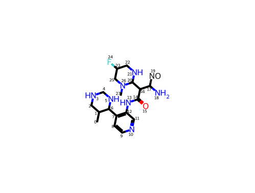 CC1CNCNC1c1ccncc1NC(=O)C(C(N)N=O)C1NCC(F)CN1C